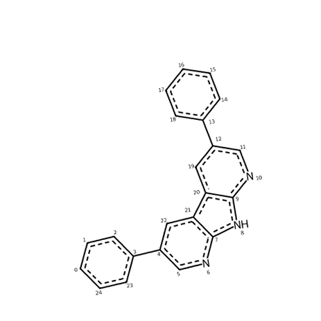 c1ccc(-c2cnc3[nH]c4ncc(-c5ccccc5)cc4c3c2)cc1